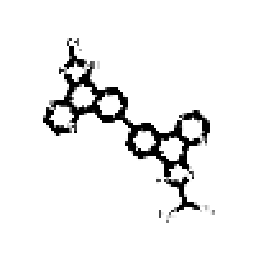 Cc1nc2c3nccnc3c3cc(-c4ccc5c(c4)c4nccnc4c4nc(C(C)C)[nH]c54)ccc3c2[nH]1